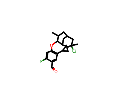 CC1CC2CC(CC(C)(Cl)C2)C1Oc1cc(F)c(C=O)cc1C1CC1